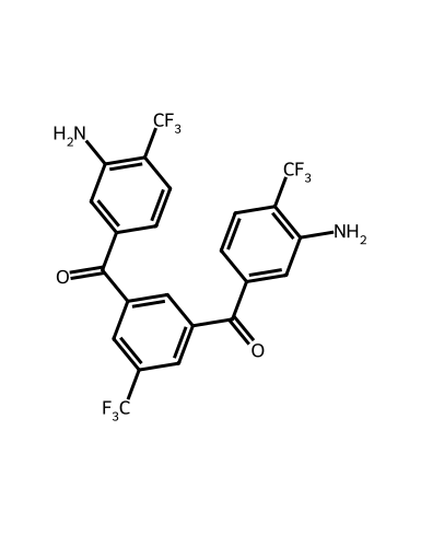 Nc1cc(C(=O)c2cc(C(=O)c3ccc(C(F)(F)F)c(N)c3)cc(C(F)(F)F)c2)ccc1C(F)(F)F